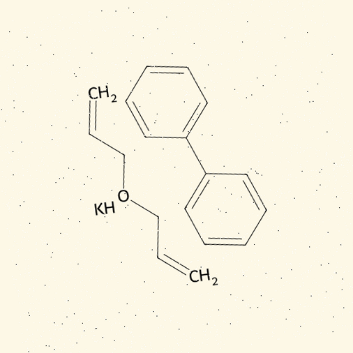 C=CCOCC=C.[KH].c1ccc(-c2ccccc2)cc1